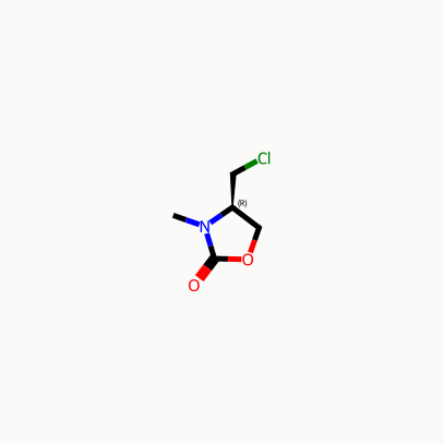 CN1C(=O)OC[C@@H]1CCl